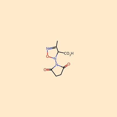 CC1=NON(N2C(=O)CCC2=O)C1C(=O)O